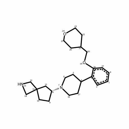 c1ccc(C2CCN([C@@H]3CCC4(CNC4)C3)CC2)c(OCC2CCOCC2)c1